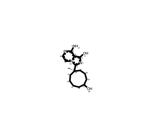 C[C@@]1(c2nc(O)c3c(N)nccn23)CCCCC(O)CCC1